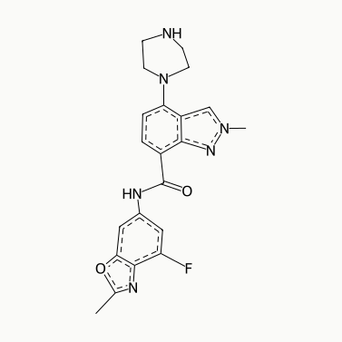 Cc1nc2c(F)cc(NC(=O)c3ccc(N4CCNCC4)c4cn(C)nc34)cc2o1